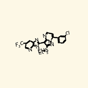 CCSc1nn2c(-c3cccc(Cl)c3)ccnc2c1-c1nc2cc(C(F)(F)F)cnc2n1C